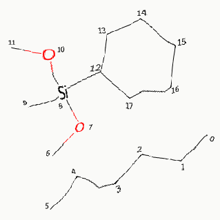 CCCCCC.CO[Si](C)(OC)C1CCCCC1